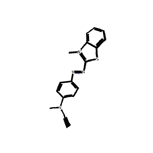 C#CN(C)c1ccc(/N=N/c2sc3ccccc3[n+]2C)cc1